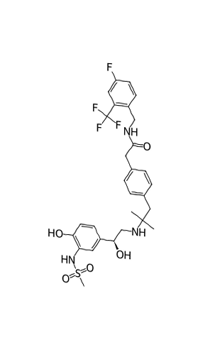 CC(C)(Cc1ccc(CC(=O)NCc2ccc(F)cc2C(F)(F)F)cc1)NC[C@@H](O)c1ccc(O)c(NS(C)(=O)=O)c1